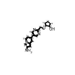 Nc1cc2cc(-c3cnc(COC4CCCC4O)nc3)ccn2n1